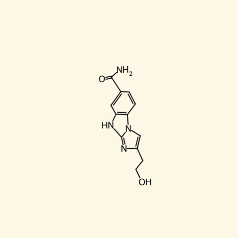 NC(=O)c1ccc2c(c1)[nH]c1nc(CCO)cn12